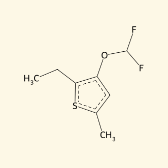 CCc1sc(C)cc1OC(F)F